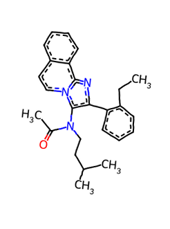 CCc1ccccc1-c1nc2c3ccccc3ccn2c1N(CCC(C)C)C(C)=O